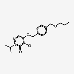 CCCOCc1ccc(COc2cnn(C(C)C)c(=O)c2Cl)cc1